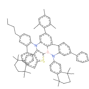 CCCCc1ccc(N2c3cc(-c4c(C)cc(C)cc4C)cc4c3B(c3sc5cc6c(cc5c32)C(C)(C)CCC6(C)C)N(c2ccc3c(c2)C(C)(C)CCC3(C)C)c2cc(-c3ccccc3)ccc2-4)c(-c2ccccc2)c1